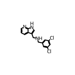 Clc1cc(Cl)cc(CNCc2c[nH]c3ncccc23)c1